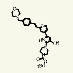 CC(C)(C)OC(=O)N1CCN(c2[nH]c(-c3ccnc(C=Cc4ccc(CN5CCOCC5)cc4)c3)cc2C#N)CC1